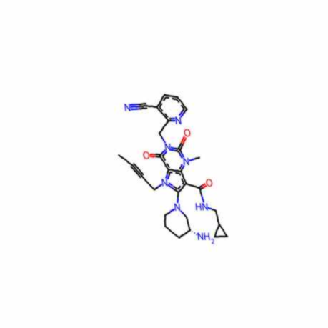 CC#CCn1c(N2CCC[C@@H](N)C2)c(C(=O)NCC2CC2)c2c1c(=O)n(Cc1ncccc1C#N)c(=O)n2C